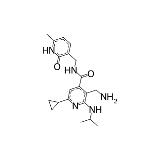 Cc1ccc(CNC(=O)c2cc(C3CC3)nc(NC(C)C)c2CN)c(=O)[nH]1